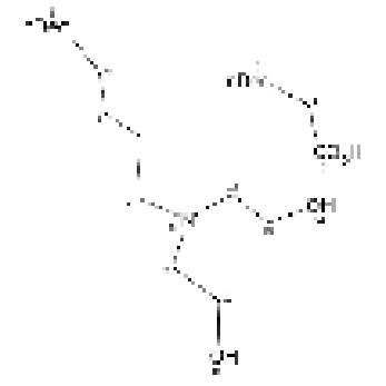 CCCCCCCCCCCC(=O)O.CCCCCCCCCCCCCCN(CCO)CCO